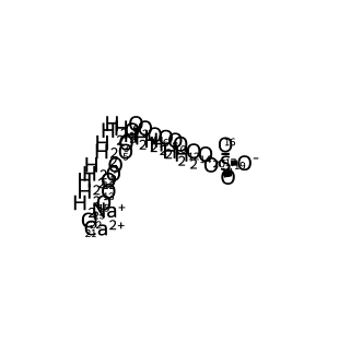 O.O.O.O.O.O.O.O.O.O.O.O.O.O.O.O.O=S(=O)([O-])[O-].[Ca+2].[Cl-].[Na+]